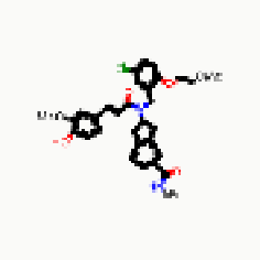 CCCNC(=O)c1ccc2c(c1)CC(N(Cc1cc(Cl)ccc1OCCOC)C(=O)/C=C/c1ccc(O)c(OC)c1)C2